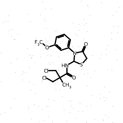 CC(CCl)(CCl)C(=O)NC1SCC(=O)N1c1cccc(OC(F)(F)F)c1